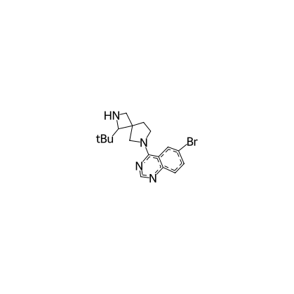 CC(C)(C)C1NCC12CCN(c1ncnc3ccc(Br)cc13)C2